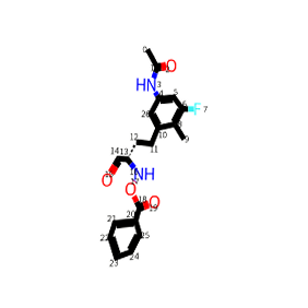 CC(=O)Nc1cc(F)c(C)c(CC[C@@H](C=O)NOC(=O)c2ccccc2)c1